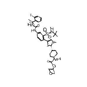 C[C@H](NC(=O)Nc1ccc(C2=CN(C)C([C@H]3CC[C@H](NC(=O)OC4COC4)CC3)S2)c(S(=O)(=O)NC(C)(C)C)c1)c1ccccc1F